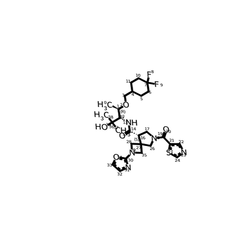 C[C@@H](OCC1CCC(F)(F)CC1)[C@H](NC(=O)[C@@H]1CN(C(=O)c2cncs2)CC12CN(c1ncco1)C2)C(C)(C)O